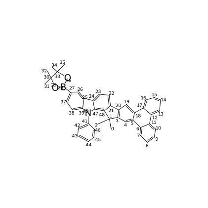 CC1(C)c2cc3c4ccccc4c4ccccc4c3cc2-c2ccc3c4cc(B5OC(C)(C)C(C)(C)O5)ccc4n(-c4ccccc4)c3c21